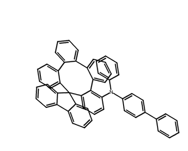 c1ccc(-c2ccc(N(c3ccccc3)c3cccc4c3-c3ccccc3-c3ccccc3-c3ccccc3C43c4ccccc4-c4ccccc43)cc2)cc1